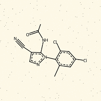 CC(=O)Nc1c(C#N)cnn1-c1c(C)cc(Cl)cc1Cl